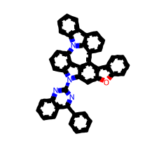 c1ccc(-c2nc(-n3c4cc5oc6ccccc6c5c5c6cccc7c8ccccc8n(c8cccc3c8c54)c76)nc3ccccc23)cc1